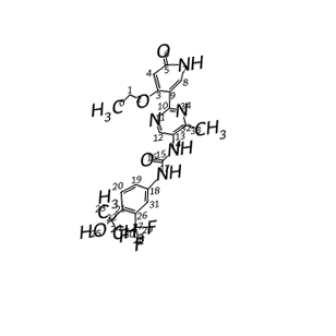 CCOc1cc(=O)[nH]cc1-c1ncc(NC(=O)Nc2ccc(C(C)(C)O)c(C(F)(F)F)c2)c(C)n1